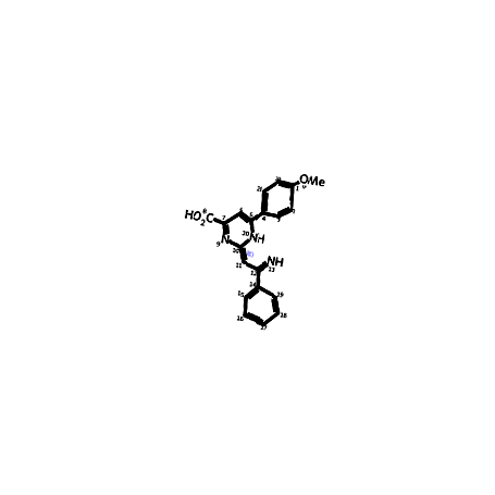 COc1ccc(C2=CC(C(=O)O)=N/C(=C/C(=N)c3ccccc3)N2)cc1